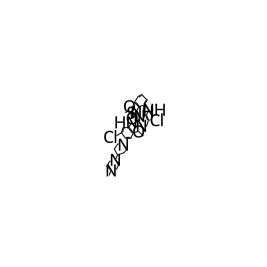 COc1cc(N2CCC(N3CCN(C)CC3)CC2)c(Cl)cc1Nc1ncc(Cl)c(Nc2ccccc2NS(C)(=O)=O)n1